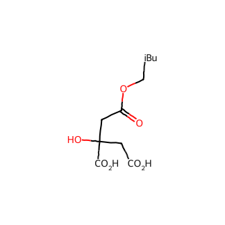 CCC(C)COC(=O)CC(O)(CC(=O)O)C(=O)O